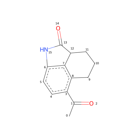 CC(=O)c1ccc2c3c1CCCC3C(=O)N2